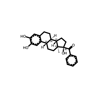 C[C@]12CC[C@@H]3c4cc(O)c(O)cc4CC[C@H]3[C@@H]1CC[C@]2(O)C(=O)c1ccccc1